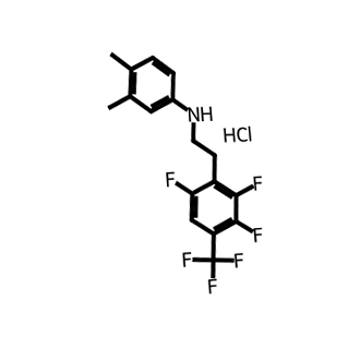 Cc1ccc(NCCc2c(F)cc(C(F)(F)F)c(F)c2F)cc1C.Cl